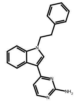 Nc1nccc(-c2cn(CCc3ccccc3)c3ccccc23)n1